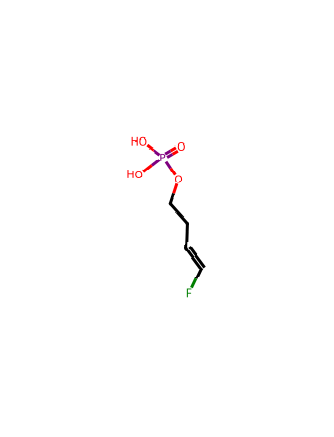 O=P(O)(O)OCCC=CF